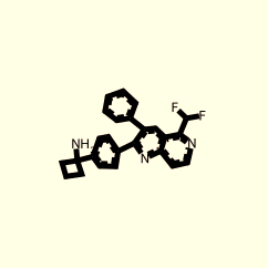 NC1(c2ccc(-c3nc4ccnc(C(F)F)c4cc3-c3ccccc3)cc2)CCC1